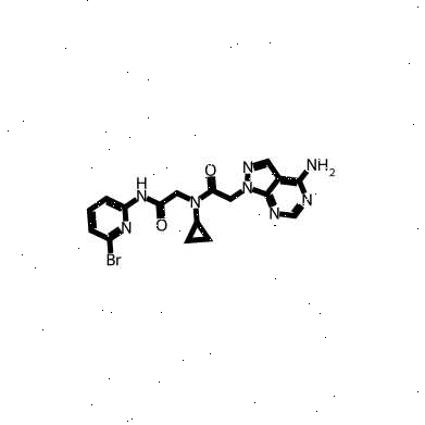 Nc1ncnc2c1cnn2CC(=O)N(CC(=O)Nc1cccc(Br)n1)C1CC1